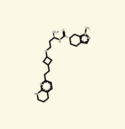 Cn1ncc2c1C[C@@H](C(=O)N[C@@H](CCOC1CC(CCc3ccc4c(n3)NCCC4)C1)C(=O)O)CC2